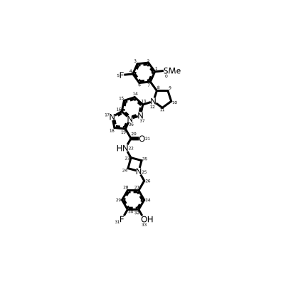 CSc1ccc(F)cc1C1CCCN1c1ccc2ncc(C(=O)NC3CN(Cc4ccc(F)c(O)c4)C3)n2n1